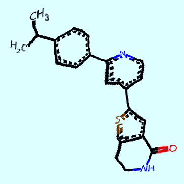 CC(C)c1ccc(-c2cc(-c3cc4c(s3)CCNC4=O)ccn2)cc1